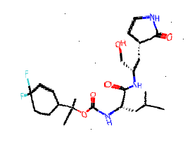 CC(C)C[C@H](NC(=O)OC(C)(C)C1CCC(F)(F)CC1)C(=O)N[C@H](CO)C[C@@H]1CCNC1=O